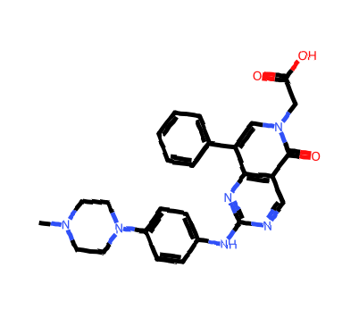 CN1CCN(c2ccc(Nc3ncc4c(=O)n(CC(=O)O)cc(-c5ccccc5)c4n3)cc2)CC1